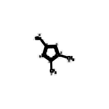 Cn1cc(C(C)(C)C)nc1C(F)(F)F